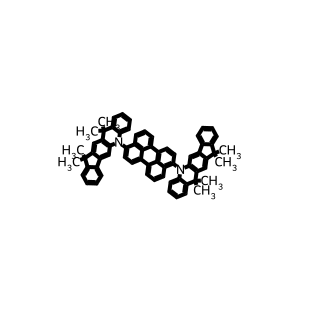 CC1(C)c2ccccc2-c2cc3c(cc21)C(C)(C)c1ccccc1N3c1ccc2c3cccc4c(N5c6ccccc6C(C)(C)c6cc7c(cc65)-c5ccccc5C7(C)C)ccc(c5cccc1c52)c43